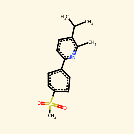 Cc1nc(-c2ccc(S(C)(=O)=O)cc2)ccc1C(C)C